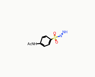 CC(=O)Nc1ccc(S(=O)(=O)N=N)cc1